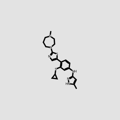 Cc1cc(Nc2ccc(-c3cnc(N4CCCN(C)CC4)s3)c(SC3CC3)c2)n[nH]1